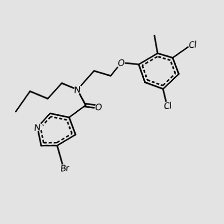 CCCCN(CCOc1cc(Cl)cc(Cl)c1C)C(=O)c1cncc(Br)c1